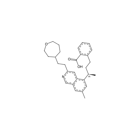 Cc1cc([C@H](C)CCc2ccccc2C(=O)O)c2cc(CCC3CCCOCC3)ncc2c1